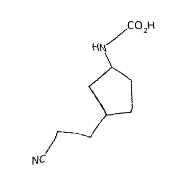 N#CCCC1CCC(NC(=O)O)C1